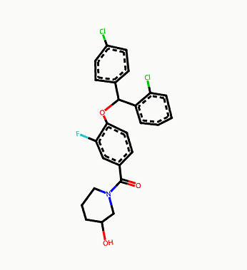 O=C(c1ccc(OC(c2ccc(Cl)cc2)c2ccccc2Cl)c(F)c1)N1CCCC(O)C1